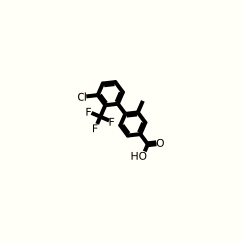 Cc1cc(C(=O)O)ccc1-c1cccc(Cl)c1C(F)(F)F